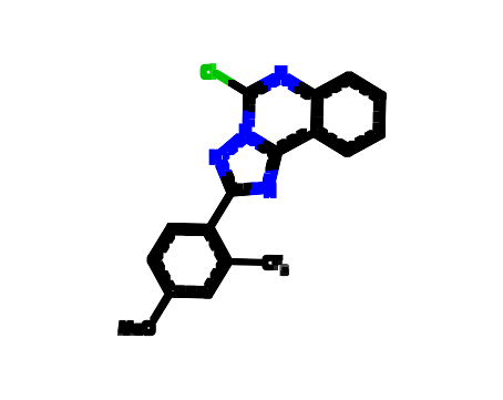 COc1ccc(-c2nc3c4ccccc4nc(Cl)n3n2)c(C(F)(F)F)c1